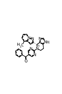 Cc1cccn2nc([C@@H]3c4nc[nH]c4CCN3c3ncc(C(=O)c4ccccc4)cn3)cc12